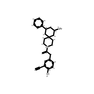 C#Cc1cc(CC(=C)N2CCC3(CC2)CC(CCC)CC(c2ccccc2)C3)ccc1CC